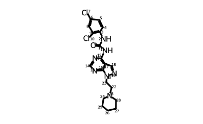 O=C(Nc1ccc(Cl)cc1Cl)Nc1ncnc2c1cnn2CCN1CCCCC1